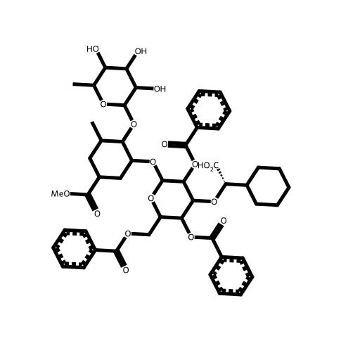 COC(=O)C1CC(C)C(OC2OC(C)C(O)C(O)C2O)C(OC2OC(COC(=O)c3ccccc3)C(OC(=O)c3ccccc3)C(O[C@H](C(=O)O)C3CCCCC3)C2OC(=O)c2ccccc2)C1